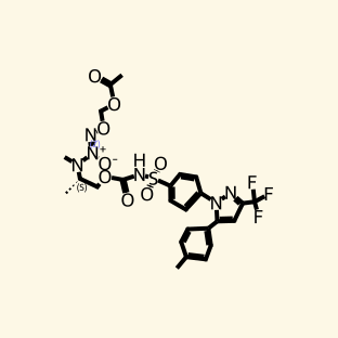 CC(=O)OCO/N=[N+](\[O-])N(C)[C@@H](C)COC(=O)NS(=O)(=O)c1ccc(-n2nc(C(F)(F)F)cc2-c2ccc(C)cc2)cc1